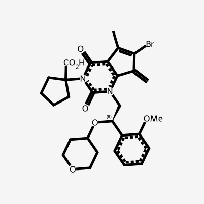 C=C1C(Br)=C(C)c2c1n(C[C@H](OC1CCOCC1)c1ccccc1OC)c(=O)n(C1(C(=O)O)CCCC1)c2=O